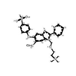 C[Si](C)(C)CCOCn1c(-c2ccccn2)nc2cc(Oc3ccc(S(C)(=O)=O)cc3)c(C=O)cc21